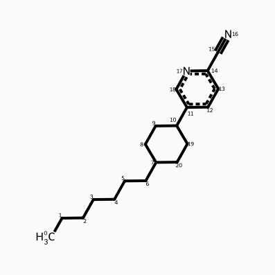 CCCCCCCC1CCC(c2ccc(C#N)nc2)CC1